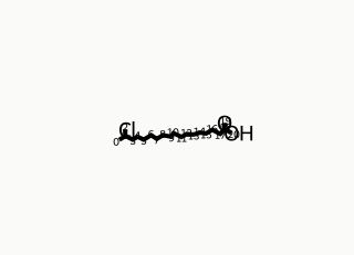 CC(Cl)CCCCCCCCCCCCCCCC(=O)O